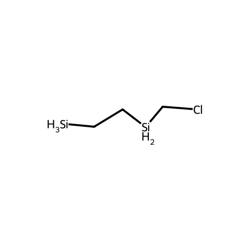 [SiH3]CC[SiH2]CCl